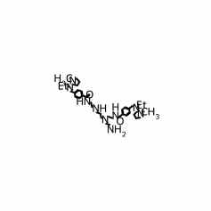 CCN(Cc1ccc(C(=O)NCCNCCCN(CCN)CCNC(=O)c2ccc(CN(CC)C3CCCN3C)cc2)cc1)C1CCCN1C